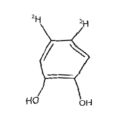 [2H]c1cc(O)c(O)cc1[2H]